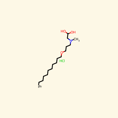 CC(C)CCCCCCCCCCOCCCN(C)CC(O)O.Cl